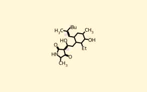 CCC(C)/C(C)=C\C1CC(C)C(O)C(CC)C1C/C(O)=C1/C(=O)NC(C)C1=O